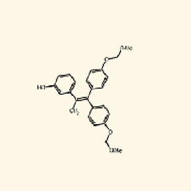 COCOc1ccc(C(=C(C)c2cccc(O)c2)c2ccc(OCOC)cc2)cc1